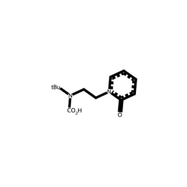 CC(C)(C)N(CCn1ccccc1=O)C(=O)O